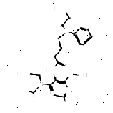 CCCN(CCCC(=O)Nc1c(SC)nc(C)nc1N(CC)CC)c1ccccc1